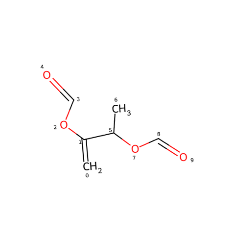 C=C(OC=O)C(C)OC=O